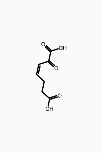 O=C(O)CC/C=C\C(=O)C(=O)O